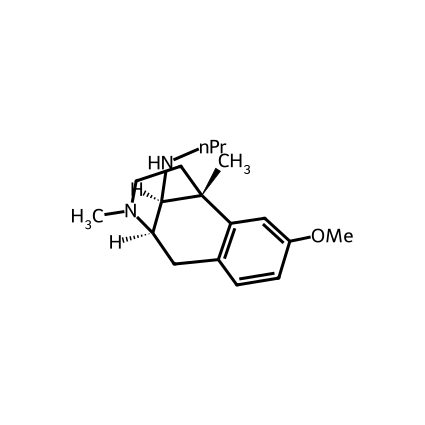 CCCN[C@@H]1[C@H]2Cc3ccc(OC)cc3[C@@]1(C)CCN2C